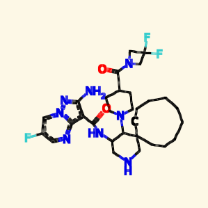 Nc1nn2cc(F)cnc2c1C(=O)NC1CNCC2(CCCCCCCCC2)C1N1CCC(C(=O)N2CC(F)(F)C2)CC1